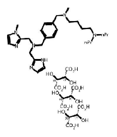 CCCN(CCC)CCCCN(C)Cc1ccc(CN(Cc2ncc[nH]2)Cc2nccn2C)cc1.O=C(O)[C@H](O)[C@@H](O)C(=O)O.O=C(O)[C@H](O)[C@@H](O)C(=O)O.O=C(O)[C@H](O)[C@@H](O)C(=O)O